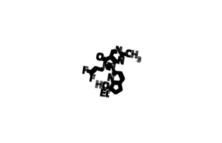 CC[C@@]1(O)CCc2ccc(-n3c4nc(C)ncc4c(=O)n3CC=C(F)F)nc21